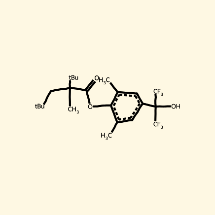 Cc1cc(C(O)(C(F)(F)F)C(F)(F)F)cc(C)c1OC(=O)C(C)(CC(C)(C)C)C(C)(C)C